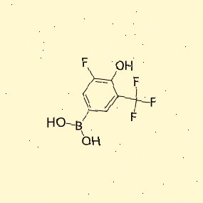 OB(O)c1cc(F)c(O)c(C(F)(F)F)c1